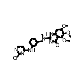 COc1cc2[nH]c(N(C)Cc3cccc(Nc4ccnc(Cl)n4)c3)nc(=O)c2c(OC)c1OC